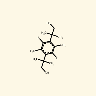 CC(C)(CS)c1c(N)c(F)c(C(C)(C)CS)c(N)c1F